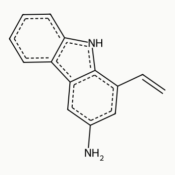 C=Cc1cc(N)cc2c1[nH]c1ccccc12